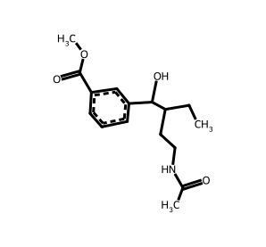 CCC(CCNC(C)=O)C(O)c1cccc(C(=O)OC)c1